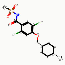 CS(=O)(=O)NC(=O)c1cc(Cl)c(OC[C@H]2CC[C@@H](C)CC2)cc1F